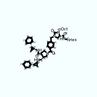 CCCCCCCCN1C(=O)N(Cc2ccc(C(=O)N3C[C@@H](CN[C@H]4C[C@@H]4c4ccccc4)[C@H](C(=O)N[C@H]4C[C@@H]4c4ccccc4)C3)cc2)C[C@H]1C(=O)NCCCCCC